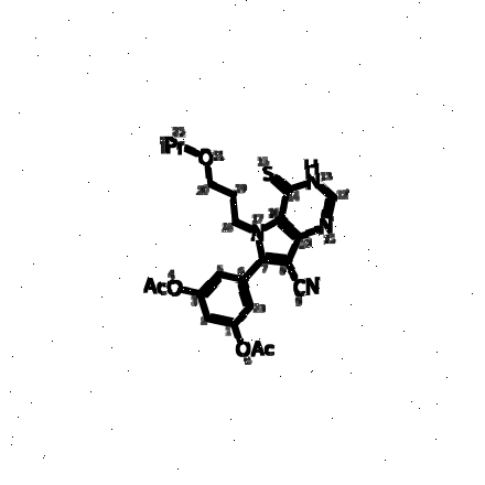 CC(=O)Oc1cc(OC(C)=O)cc(-c2c(C#N)c3nc[nH]c(=S)c3n2CCCOC(C)C)c1